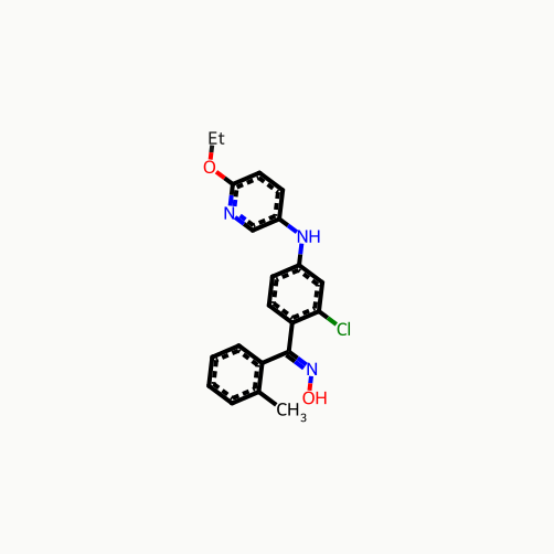 CCOc1ccc(Nc2ccc(C(=NO)c3ccccc3C)c(Cl)c2)cn1